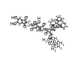 CC(C)(C)OC(=O)C(C)(C)O/N=C(\C(=O)N[C@H]1CN2CC(C(=O)NCCN3C(=O)c4cc(O)c(O)cc4C3=O)=C(C(=O)O)N2C1=O)c1csc(NC(c2ccccc2)(c2ccccc2)c2ccccc2)n1